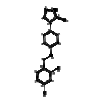 O=c1[nH]ncn1-c1ccc(OCc2ccc(Cl)cc2Cl)cc1